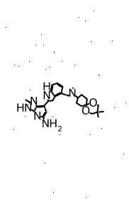 Cc1nc2c(C3Cc4c(CN(C)C5CCC6(CC5)OCC(C)(C)CO6)cccc4N3)cc(N)nc2[nH]1